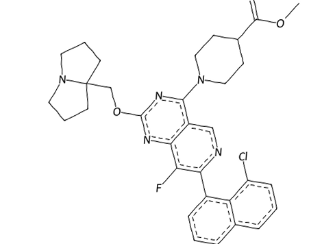 COC(=O)C1CCN(c2nc(OCC34CCCN3CCC4)nc3c(F)c(-c4cccc5cccc(Cl)c45)ncc23)CC1